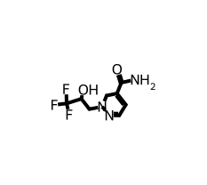 NC(=O)C1=CC=NN(CC(O)C(F)(F)F)C1